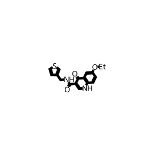 CCOc1ccc2[nH]cc(C(=O)NCc3ccsc3)c(=O)c2c1